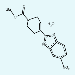 CC(C)(C)OC(=O)N1CC=C(c2nc3cc([N+](=O)[O-])ccc3s2)CC1.O